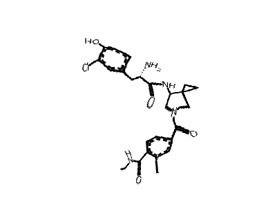 CNC(=O)c1ccc(C(=O)N2CC(NC(=O)[C@@H](N)Cc3ccc(O)c(Cl)c3)C3(CC3)C2)cc1C